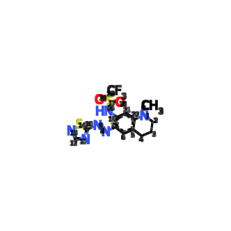 CN1CCCc2cc(N=Nc3ncns3)c(NS(=O)(=O)C(F)(F)F)cc21